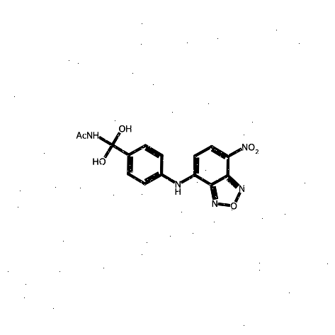 CC(=O)NC(O)(O)c1ccc(Nc2ccc([N+](=O)[O-])c3nonc23)cc1